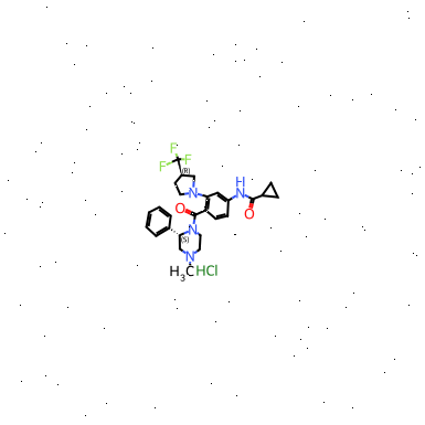 CN1CCN(C(=O)c2ccc(NC(=O)C3CC3)cc2N2CC[C@@H](C(F)(F)F)C2)[C@@H](c2ccccc2)C1.Cl